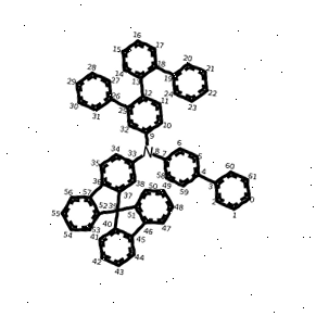 c1ccc(-c2ccc(N(c3ccc(-c4ccccc4-c4ccccc4)c(-c4ccccc4)c3)c3ccc4c(c3)C3(c5ccccc5-c5ccccc53)c3ccccc3-4)cc2)cc1